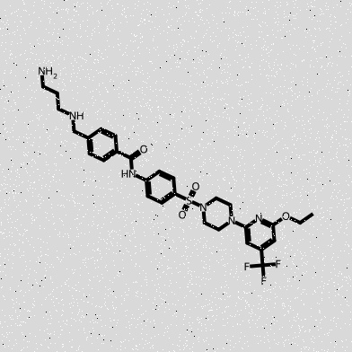 CCOc1cc(C(F)(F)F)cc(N2CCN(S(=O)(=O)c3ccc(NC(=O)c4ccc(CNCCCN)cc4)cc3)CC2)n1